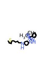 CN(C)c1nc(N[C@H]2CC[C@@H](NCCCCCc3cccs3)CC2)nc2ccccc12